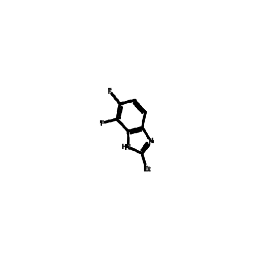 CCc1nc2ccc(F)c(F)c2[nH]1